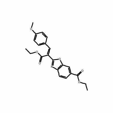 CCOC(=O)C(=Cc1ccc(OC)cc1)c1nc2ccc(C(=O)OCC)cc2o1